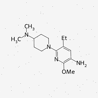 CCc1cc(N)c(OC)nc1N1CCC(N(C)C)CC1